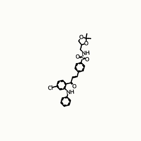 CC1(C)OCC(CNS(=O)(=O)c2ccc(C=CC(=O)c3ccc(Cl)cc3Nc3ccccc3)cc2)O1